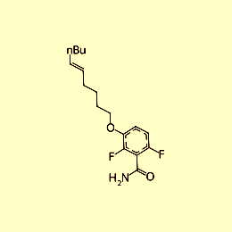 CCCCC=CCCCCOc1ccc(F)c(C(N)=O)c1F